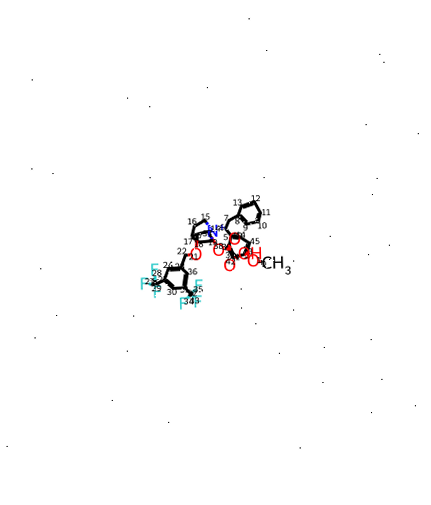 COc1ccc(C(Cc2ccccc2)[N+]23CCC(CC2)C(OCc2cc(C(F)(F)F)cc(C(F)(F)F)c2)C3OC(=O)C(=O)O)cc1